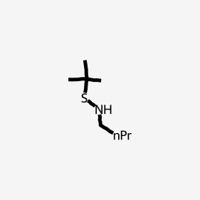 CCCCNSC(C)(C)C